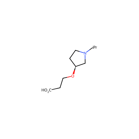 CC(C)N1CC[C@H](OCCC(=O)O)C1